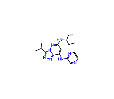 CCC(CC)Nc1cc(Nc2cnccn2)c2nnc(C(C)C)n2n1